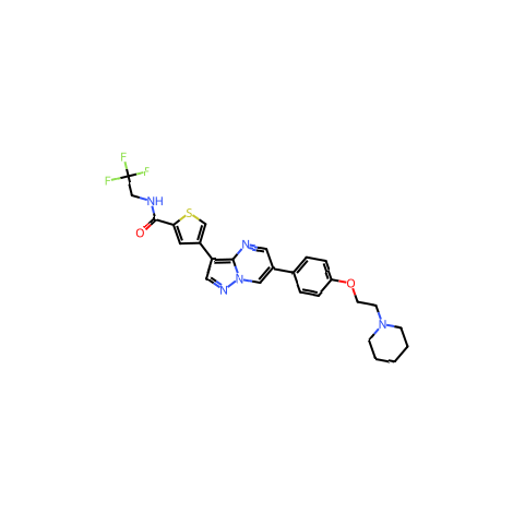 O=C(NCC(F)(F)F)c1cc(-c2cnn3cc(-c4ccc(OCCN5CCCCC5)cc4)cnc23)cs1